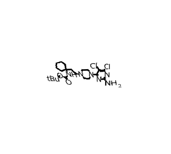 CC(C)(C)OC(=O)NC1(CCN2CCN(c3nc(N)nc(Cl)c3Cl)CC2)CCCCC1